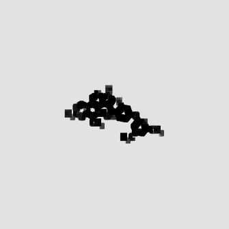 COCC(C)Nc1c(NC=O)cnc2[nH]cc(C(O)c3ccc(Oc4cc(C)cc(C)n4)cc3F)c12